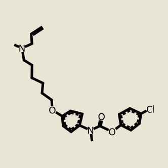 C=CCN(C)CCCCCCOc1ccc(N(C)C(=O)Oc2ccc(Cl)cc2)cc1